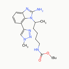 CC(CCCCNC(=O)OC(C)(C)C)n1c(N)nc2cccc(-c3cn(C)nn3)c21